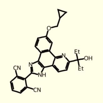 CCC(O)(CC)c1ccc2c(n1)c1cc(OCC3CC3)ccc1c1nc(-c3c(C#N)cccc3C#N)[nH]c21